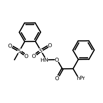 CCCC(C(=O)ONS(=O)(=O)c1ccccc1S(C)(=O)=O)c1ccccc1